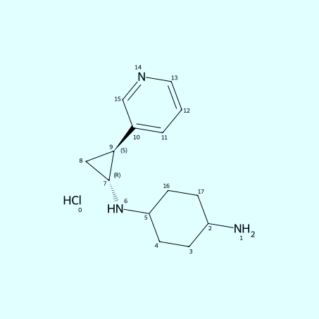 Cl.NC1CCC(N[C@@H]2C[C@H]2c2cccnc2)CC1